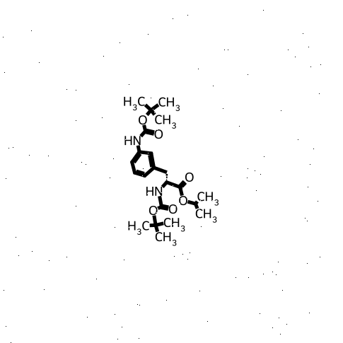 CC(C)OC(=O)[C@@H](Cc1cccc(NC(=O)OC(C)(C)C)c1)NC(=O)OC(C)(C)C